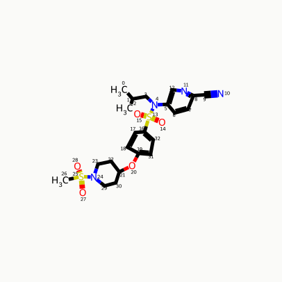 CC(C)CN(c1ccc(C#N)nc1)S(=O)(=O)c1ccc(OC2CCN(S(C)(=O)=O)CC2)cc1